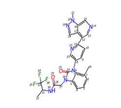 Cc1cccc2c1n(-c1ccc(-c3cncc4c3cnn4C)nc1)c(=O)n2CC(=O)NC(C)C(F)(F)F